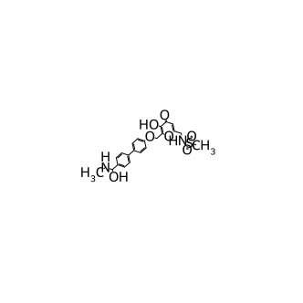 CNC(O)c1ccc(-c2ccc(OCc3oc(CNS(C)(=O)=O)cc(=O)c3O)cc2)cc1